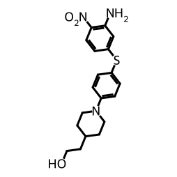 Nc1cc(Sc2ccc(N3CCC(CCO)CC3)cc2)ccc1[N+](=O)[O-]